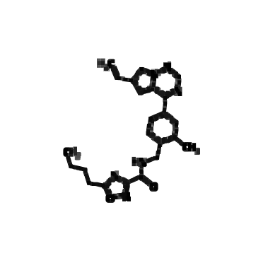 C=Cc1cc2c(-c3ccc(CNC(=O)c4noc(CCCC)n4)c(C)c3)ncnn2c1